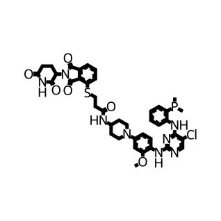 COc1cc(N2CCC(NC(=O)CCSc3cccc4c3C(=O)N(C3CCC(=O)NC3=O)C4=O)CC2)ccc1Nc1ncc(Cl)c(Nc2ccccc2P(C)C)n1